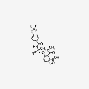 COC(=O)c1c(OCC(C)(C#N)NC(=O)c2ccc(OC(F)(F)F)cc2)ccc2c1B(O)OC2